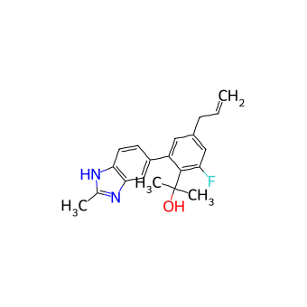 C=CCc1cc(F)c(C(C)(C)O)c(-c2ccc3[nH]c(C)nc3c2)c1